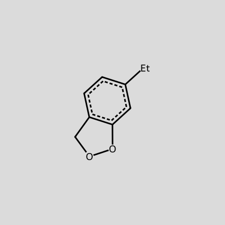 [CH2]Cc1ccc2c(c1)OOC2